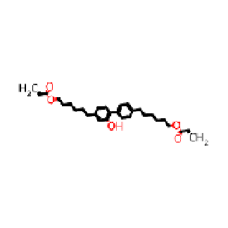 C=CC(=O)OCCCCCCc1ccc(-c2ccc(CCCCCCOC(=O)C=C)cc2O)cc1